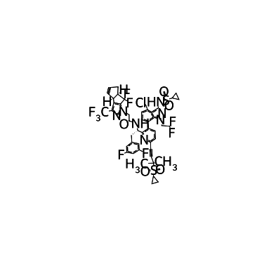 CC(C)(C#Cc1ccc(-c2ccc(Cl)c3c(NS(=O)(=O)C4CC4)nn(CC(F)F)c23)c([C@H](Cc2cc(F)cc(F)c2)NC(=O)Cn2nc(C(F)(F)F)c3c2C(F)(F)[C@@H]2CC#C[C@H]32)n1)S(=O)(=O)C1CC1